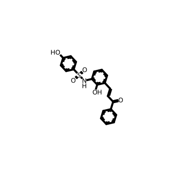 O=C(/C=C/c1cccc(NS(=O)(=O)c2ccc(O)cc2)c1O)c1ccccc1